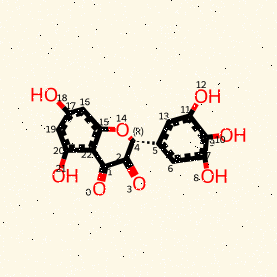 O=C1C(=O)[C@@H](c2cc(O)c(O)c(O)c2)Oc2cc(O)cc(O)c21